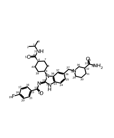 CC(C)NC(=O)[C@H]1CC[C@@H](n2/c(=N/C(=O)c3ccc(F)cc3)[nH]c3ccc(CN4CCCC(C(N)=O)C4)cc32)CC1